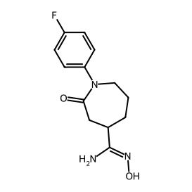 N/C(=N\O)C1CCCN(c2ccc(F)cc2)C(=O)C1